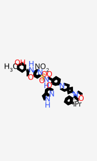 CC(C)c1ccccc1[C@H]1COCCN1C1CC2(CCN(c3ccc(C(=O)NS(=O)(=O)c4cc5c(c([N+](=O)[O-])n4)N[C@@H](C4CCC(C)(O)CC4)CO5)c(Oc4cnc5[nH]ccc5c4)c3)CC2)C1